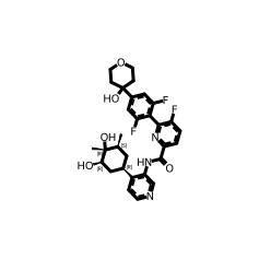 C[C@H]1C[C@@H](c2ccncc2NC(=O)c2ccc(F)c(-c3c(F)cc(C4(O)CCOCC4)cc3F)n2)C[C@@H](O)[C@]1(C)O